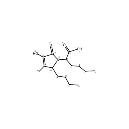 CCCCC(C(=O)O)N1C(=O)C(O)=C(C)C1CCCC